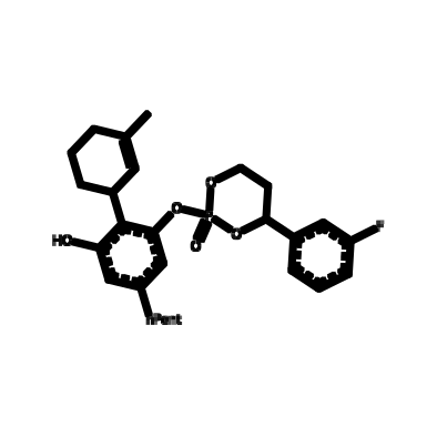 CCCCCc1cc(O)c(C2C=C(C)CCC2)c(OP2(=O)OCCC(c3cccc(F)c3)O2)c1